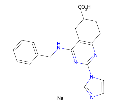 O=C(O)C1CCc2nc(-n3ccnc3)nc(NCc3ccccc3)c2C1.[Na]